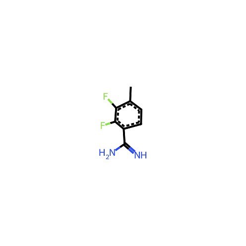 Cc1ccc(C(=N)N)c(F)c1F